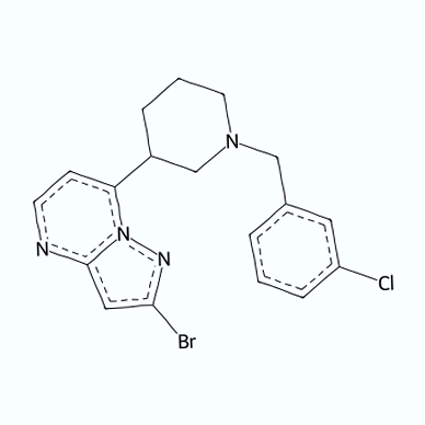 Clc1cccc(CN2CCCC(c3ccnc4cc(Br)nn34)C2)c1